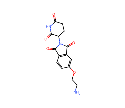 NCCOc1ccc2c(c1)C(=O)N(C1CCC(=O)NC1=O)C2=O